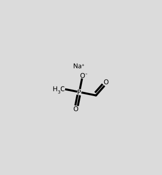 CP(=O)([O-])C=O.[Na+]